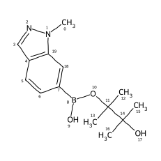 Cn1ncc2ccc(B(O)OC(C)(C)C(C)(C)O)cc21